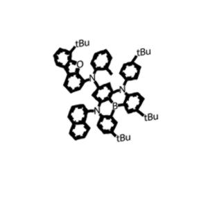 Cc1ccccc1N(c1cc2c3c(c1)N(c1cccc4ccccc14)c1ccc(C(C)(C)C)cc1B3c1cc(C(C)(C)C)ccc1N2c1ccc(C(C)(C)C)cc1)c1cccc2c1oc1c(C(C)(C)C)cccc12